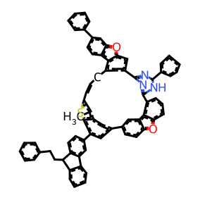 Cc1c2sc3c(-c4ccc5c(c4)-c4ccccc4C5CCc4ccccc4)cc(cc13)-c1ccc3oc4cccc(c4c3c1)C1=NC(=NC(c3ccccc3)N1)c1cc(c3c(c1)oc1cc(-c4ccccc4)ccc13)C/C=C\2